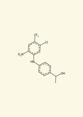 CC(O)c1ccc(Nc2cc(Cl)c(C(F)(F)F)cc2[N+](=O)[O-])cc1